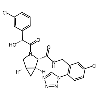 O=C(NCc1cc(Cl)ccc1-n1cnnn1)[C@@H]1[C@H]2C[C@H]2CN1C(=O)[C@H](O)c1cccc(Cl)c1